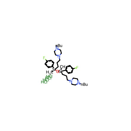 CCCCN1CCN(CCC[Si](C)(O[Si](C)(CCCN2CCN(CCCC)CC2)c2ccc(F)cc2)c2ccc(F)cc2)CC1.Cl.Cl.Cl.Cl